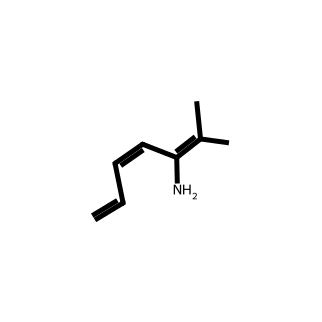 C=C/C=C\C(N)=C(C)C